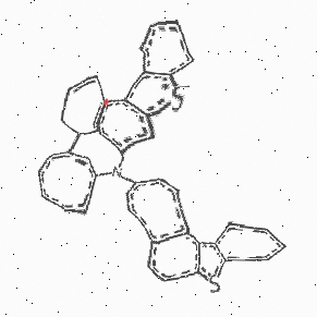 C1=CCC(c2ccccc2N(c2ccc3c(ccc4sc5ccccc5c43)c2)c2ccc3c(c2)sc2ccccc23)C=C1